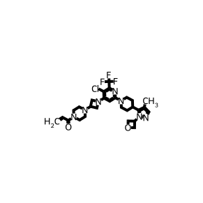 C=CC(=O)N1CCN(C2CN(c3cc(N4CCC(c5c(C)cnn5C5COC5)CC4)nc(C(F)(F)F)c3Cl)C2)CC1